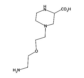 NCCOCCN1CCNC(C(=O)O)C1